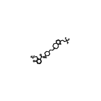 CCn1c(C(=O)NC2CCC(CCN3CCc4ccc(CCC(F)(F)F)nc4CC3)CC2)cccc1=O